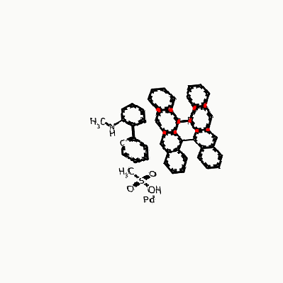 CNc1ccccc1-c1[c-]cccc1.CS(=O)(=O)O.[Pd].c1ccc(P(c2ccccc2)c2ccc3ccccc3c2-c2c(P(c3ccccc3)c3ccccc3)ccc3ccccc23)cc1